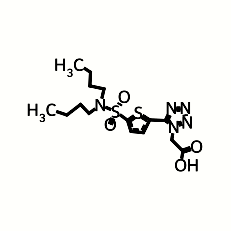 CCCCN(CCCC)S(=O)(=O)c1ccc(-c2nnnn2CC(=O)O)s1